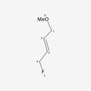 COCC=CCF